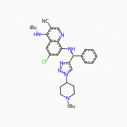 CC[C@@H](C)Nc1c(C#N)cnc2c(N[C@@H](c3ccccc3)c3cn(C4CCN(C(C)(C)C)CC4)nn3)cc(Cl)cc12